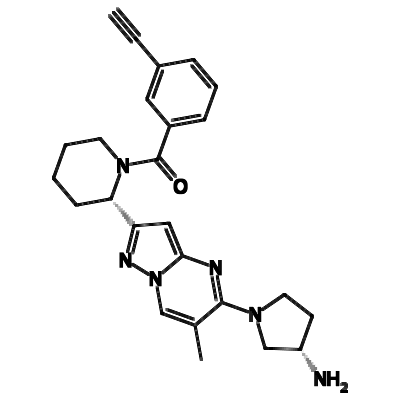 C#Cc1cccc(C(=O)N2CCCC[C@H]2c2cc3nc(N4CC[C@H](N)C4)c(C)cn3n2)c1